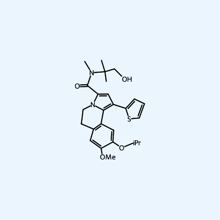 COc1cc2c(cc1OC(C)C)-c1c(-c3cccs3)cc(C(=O)N(C)C(C)(C)CO)n1CC2